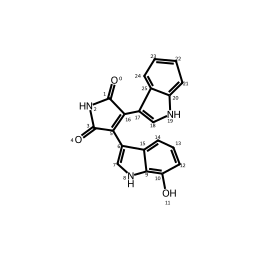 O=C1NC(=O)C(c2c[nH]c3c(O)cccc23)=C1c1c[nH]c2ccccc12